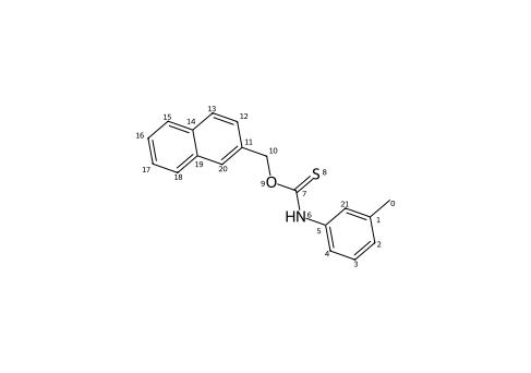 Cc1cccc(NC(=S)OCc2ccc3ccccc3c2)c1